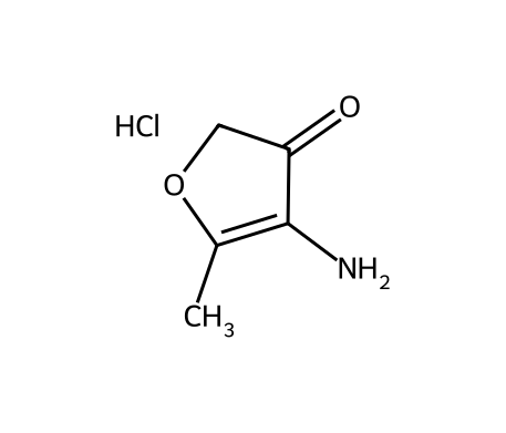 CC1=C(N)C(=O)CO1.Cl